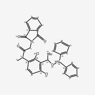 CN(C(=O)CN1C(=O)c2ccccc2C1=O)c1ccc(Cl)c(C(O[SiH](c2ccccc2)c2ccccc2)C(C)(C)C)c1Cl